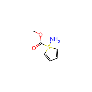 COC(=O)S1(N)C=CC=C1